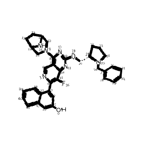 Oc1cc(-c2ncc3c(N4CC5CCC(C4)N5)nc(OC[C@@H]4CCCN4Cc4ccccc4)nc3c2F)c2ccccc2c1